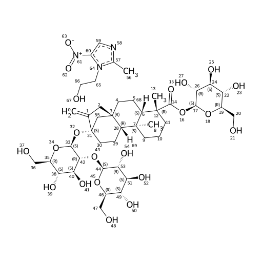 C=C1C[C@@]23CC[C@H]4[C@@](C)(CCC[C@@]4(C)C(=O)O[C@@H]4O[C@H](CO)[C@@H](O)[C@H](O)[C@H]4O)[C@@H]2CC[C@]1(O[C@@H]1O[C@H](CO)[C@@H](O)[C@H](O)[C@H]1O[C@@H]1O[C@H](CO)[C@@H](O)[C@H](O)[C@H]1O)C3.Cc1ncc([N+](=O)[O-])n1CCO